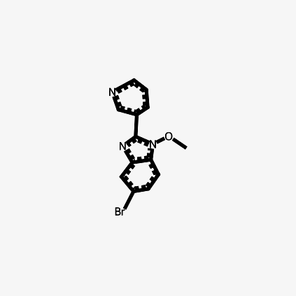 COn1c(-c2cccnc2)nc2cc(Br)ccc21